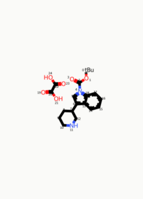 CC(C)(C)OC(=O)n1cc(C2CCCNC2)c2ccccc21.O=C(O)C(=O)O